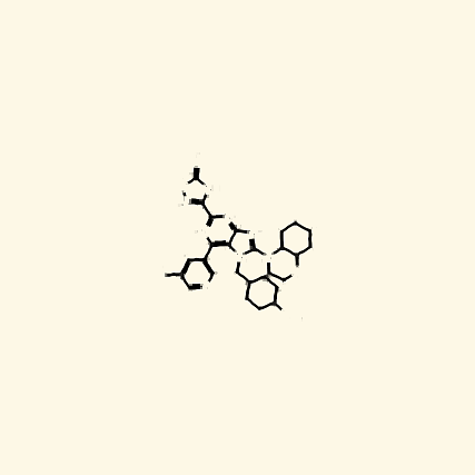 CC1CCC(Cn2c(N3CCOC4CCCCC43)nc3nc(-c4noc(=O)[nH]4)nc(-c4cncc(Cl)c4)c32)CC1